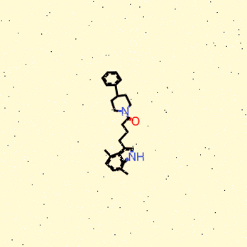 Cc1ccc(C)c2c(CCCC(=O)N3CCC(c4ccccc4)CC3)c[nH]c12